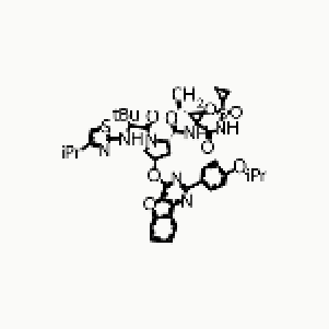 C=C[C@@H]1C[C@]1(NC(=O)[C@@H]1C[C@@H](Oc2nc(-c3ccc(OC(C)C)cc3)nc3c2oc2ccccc23)CN1C(=O)[C@@H](Nc1nc(C(C)C)cs1)C(C)(C)C)C(=O)NS(=O)(=O)C1CC1